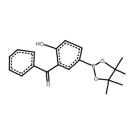 CC1(C)OB(c2ccc(O)c(C(=O)c3ccccc3)c2)OC1(C)C